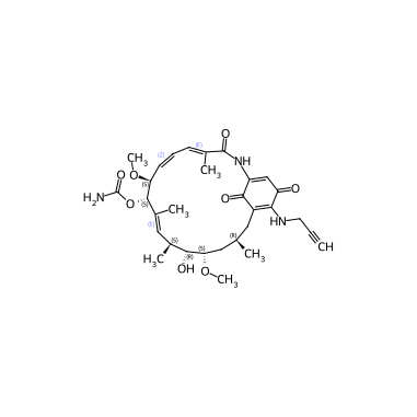 C#CCNC1=C2C[C@@H](C)C[C@H](OC)[C@H](O)[C@@H](C)/C=C(\C)[C@H](OC(N)=O)[C@@H](OC)/C=C\C=C(/C)C(=O)NC(=CC1=O)C2=O